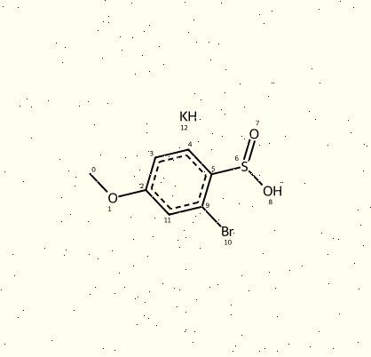 COc1ccc(S(=O)O)c(Br)c1.[KH]